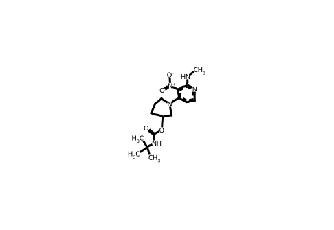 CNc1nccc(N2CCCC(OC(=O)NC(C)(C)C)C2)c1[N+](=O)[O-]